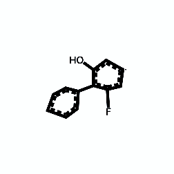 Oc1c[c]cc(F)c1-c1ccccc1